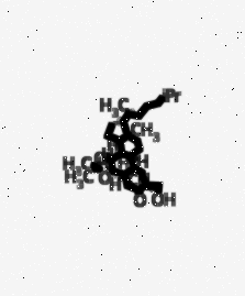 CC(C)CCC[C@@H](C)[C@H]1CC[C@H]2[C@@H]3[C@H]4OC(C)(C)O[C@@H]4[C@H]4CC(=O)C(=CO)C[C@]4(C)[C@H]3CC[C@]12C